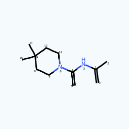 C=C(C)NC(=C)N1CCC(C)(C)CC1